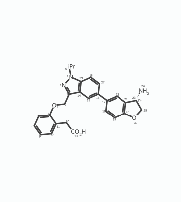 CC(C)n1nc(COc2ccccc2CC(=O)O)c2cc(-c3ccc4c(c3)[C@H](N)CO4)ccc21